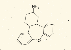 NC1CCC2c3ccccc3Oc3ccccc3C2C1